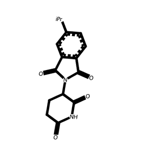 CC(C)c1ccc2c(c1)C(=O)N(C1CCC(=O)NC1=O)C2=O